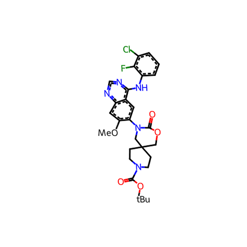 COc1cc2ncnc(Nc3cccc(Cl)c3F)c2cc1N1CC2(CCN(C(=O)OC(C)(C)C)CC2)COC1=O